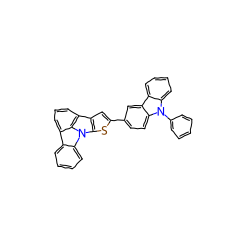 c1ccc(-n2c3ccccc3c3cc(-c4cc5c6cccc7c8ccccc8n(c5s4)c76)ccc32)cc1